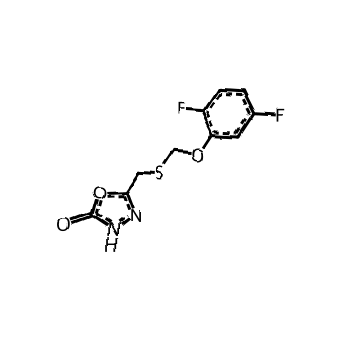 O=c1[nH]nc(CSCOc2cc(F)ccc2F)o1